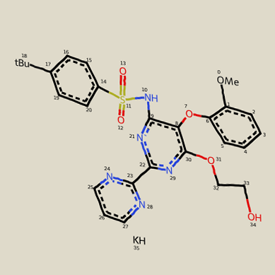 COc1ccccc1Oc1c(NS(=O)(=O)c2ccc(C(C)(C)C)cc2)nc(-c2ncccn2)nc1OCCO.[KH]